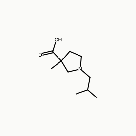 CC(C)CN1CCC(C)(C(=O)O)C1